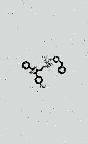 COc1ccc(-c2[nH]c(-c3ccccc3)nc2CCNS(=O)(=O)N(C)[C@@H]2CCN(Cc3ccccc3)C2)cc1